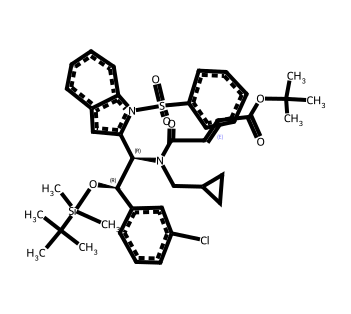 CC(C)(C)OC(=O)/C=C/C(=O)N(CC1CC1)[C@H](c1cc2ccccc2n1S(=O)(=O)c1ccccc1)[C@H](O[Si](C)(C)C(C)(C)C)c1cccc(Cl)c1